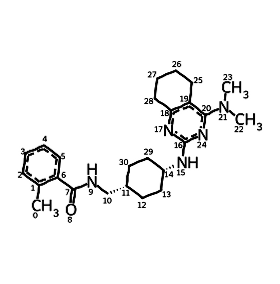 Cc1ccccc1C(=O)NC[C@H]1CC[C@@H](Nc2nc3c(c(N(C)C)n2)CCCC3)CC1